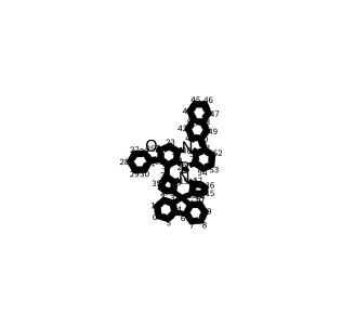 c1ccc2c(c1)-c1ccccc1C21c2ccccc2N2B3c4c(cc5oc6ccccc6c5c4-c4cccc1c42)-n1c2cc4ccccc4cc2c2cccc3c21